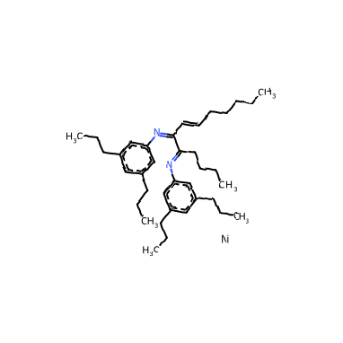 CCCCCC=CC(=Nc1cc(CCC)cc(CCC)c1)C(CCCC)=Nc1cc(CCC)cc(CCC)c1.[Ni]